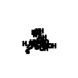 CSCC[C@H](N)C(=O)N[C@]1(OC(=O)O)C[C@@H](Sc2nnc[nH]2)[C@H]2[C@H](OC(=O)O)[C@@H]21